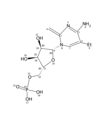 C=C1N=C(N)C(CC)=CN1[C@@H]1O[C@H](COP(=O)(O)O)[C@@H](O)[C@H]1O